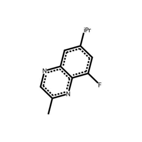 Cc1cnc2cc(C(C)C)cc(F)c2n1